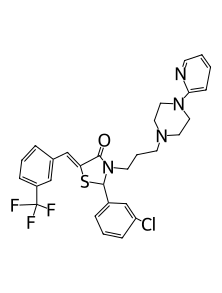 O=C1C(=Cc2cccc(C(F)(F)F)c2)SC(c2cccc(Cl)c2)N1CCCN1CCN(c2ccccn2)CC1